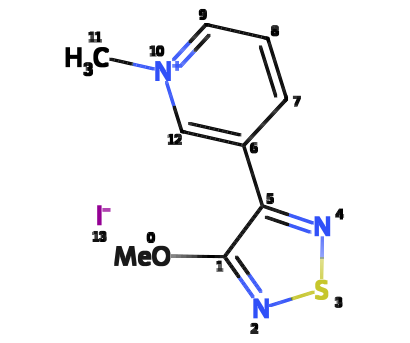 COc1nsnc1-c1ccc[n+](C)c1.[I-]